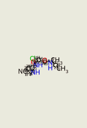 Cc1ccc(C(C)NCc2ccc(-c3ccc(Cl)c(C(=O)NC(CCNC(C)C)Cc4ccc(C#N)cc4)c3)o2)cc1